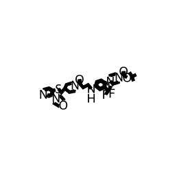 CC(C)(C)OC(=O)N1CCN(c2ccc(NCCC(=O)N3CCC(CSc4ccncc4N4CCOCC4)CC3)cc2C(F)(F)F)CC1